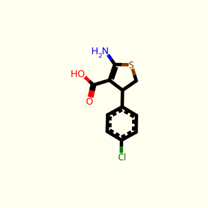 NC1=C(C(=O)O)C(c2ccc(Cl)cc2)CS1